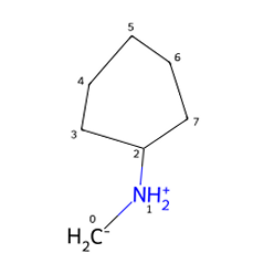 [CH2-][NH2+]C1CCCCC1